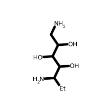 CCC(N)C(O)C(O)C(O)CN